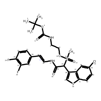 CC(C)(C)OC(=O)NCCOP(C)(=O)C(C(=O)N/C=C/c1ccc(F)c(F)c1)c1csc2ccc(Cl)cc12